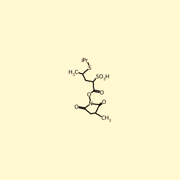 CC(C)SC(C)CC(C(=O)ON1C(=O)CC(C)C1=O)S(=O)(=O)O